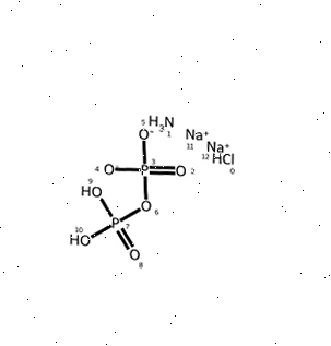 Cl.N.O=P([O-])([O-])OP(=O)(O)O.[Na+].[Na+]